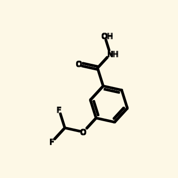 O=C(NO)c1cccc(OC(F)F)c1